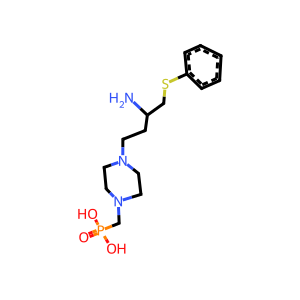 NC(CCN1CCN(CP(=O)(O)O)CC1)CSc1ccccc1